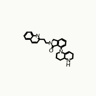 O=C1c2c(cccc2N2CCCC3NCCC=C32)CN1CCc1ccc2ccccc2n1